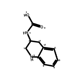 O=C(O)NC1CNc2ccccc2C1